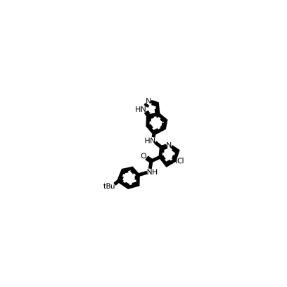 CC(C)(C)c1ccc(NC(=O)c2cccnc2Nc2ccc3cn[nH]c3c2)cc1.Cl